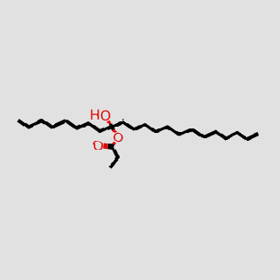 CCCCCCCCCCCC[CH]C(O)(CCCCCCCC)OC(=O)CC